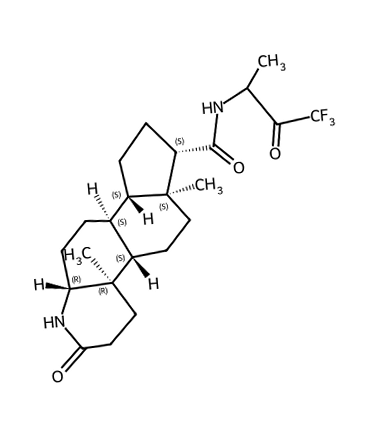 CC(NC(=O)[C@H]1CC[C@H]2[C@@H]3CC[C@H]4NC(=O)CC[C@]4(C)[C@H]3CC[C@]12C)C(=O)C(F)(F)F